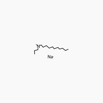 CCCCCCCCCCCN(C)CCC.[Na]